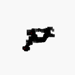 CCCCCNc1nc(N)nc2ccn(Cc3ccc(CN4CCN(CCO[PH](O)(O)OCc5ccc(O[C@@H]6OC[C@@H](O)[C@H](O)[C@H]6O)c(NC(=O)CCNC(=O)CCOCCN6C(=O)C=CC6=O)c5)CC4)cc3OC)c12